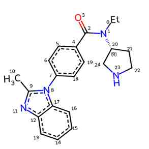 CCN(C(=O)c1ccc(-n2c(C)nc3ccccc32)cc1)[C@@H]1CCNC1